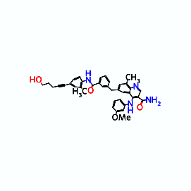 COc1cccc(Nc2c(C(N)=O)cnc3c(C)cc(Cc4cccc(C(=O)Nc5ccc(C#CCCCO)cc5C)c4)cc23)c1